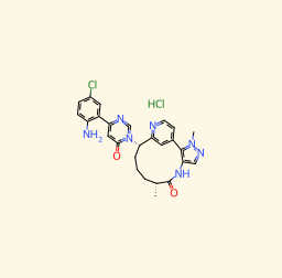 C[C@@H]1CCC[C@H](n2cnc(-c3cc(Cl)ccc3N)cc2=O)c2cc(ccn2)-c2c(cnn2C)NC1=O.Cl